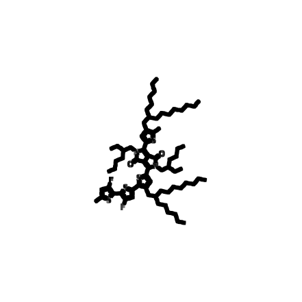 CCCCCCCCC(CCCCCC)Cc1cc(C2=C3C(=O)N(CC(CC)CCCC)C(c4cc(CC(CCCCCC)CCCCCCCC)c(-c5cc(F)c(-c6sc(C)cc6F)s5)s4)=C3C(=O)N2CC(CC)CCCC)sc1C